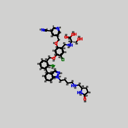 N#Cc1cncc(COc2cc(OCc3cccc(-c4cccc5c4cnn5CCCCNCC4CCC(=O)N4)c3Br)c(Cl)cc2CN[C@@H](CO)C(=O)O)c1